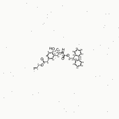 C=CCOC(=O)Cc1cccc(C[C@@H](NC(=O)OCC2c3ccccc3-c3ccccc32)C(=O)O)c1